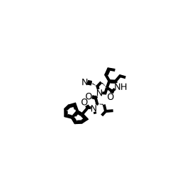 C/C=C\C1=C(CC)NC(=O)[C@]12C[C@@H](C#N)N(C(=O)[C@H](CC(C)C)N(C)C(=O)c1cccc3ccccc13)C2